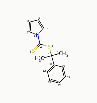 CC(C)(SC(=S)n1cccc1)c1ccccc1